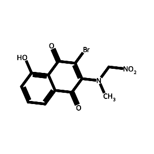 CN(C[N+](=O)[O-])C1=C(Br)C(=O)c2c(O)cccc2C1=O